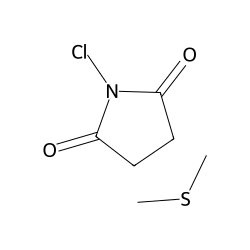 CSC.O=C1CCC(=O)N1Cl